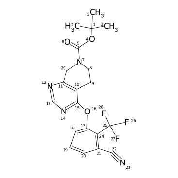 CC(C)(C)OC(=O)N1CCc2c(ncnc2Oc2cccc(C#N)c2C(F)(F)F)C1